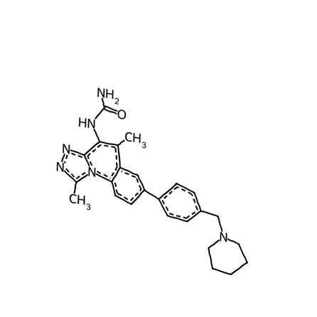 Cc1c(NC(N)=O)c2nnc(C)n2c2ccc(-c3ccc(CN4CCCCC4)cc3)cc12